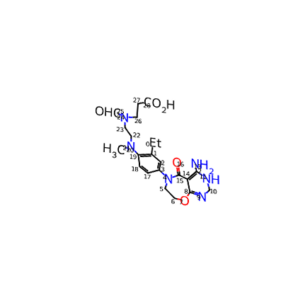 CCc1cc(N2CCOC3=NCNC(N)=C3C2=O)ccc1N(C)CCN(C=O)CCC(=O)O